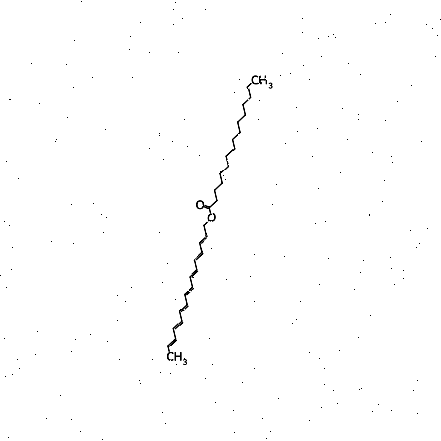 C/C=C/C=C/C=C/C=C/C=C/C=C/C=C/COC(=O)CCCCCCCCCCCCCCC